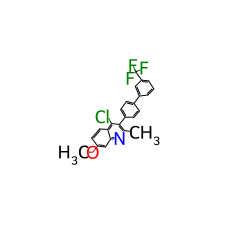 COc1ccc2c(Cl)c(-c3ccc(-c4cccc(C(F)(F)F)c4)cc3)c(C)nc2c1